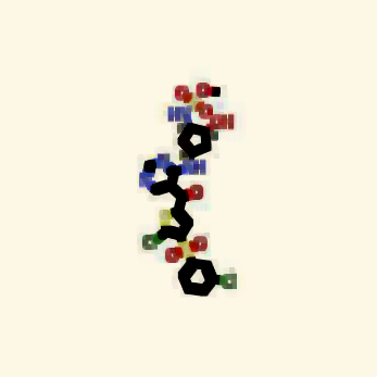 COS(=O)(=O)N[C@@H]1C[C@@H](Nc2ncncc2C(=O)c2cc(S(=O)(=O)c3cccc(Cl)c3)c(Cl)s2)C[C@@H]1O